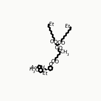 CC/C=C\CCCCCCCC(=O)OCC(COC(=O)CCCCCCC/C=C\CC)OC(=O)CC(C)CCCCC(=O)OCO[C@@H]1CCC[C@@H](CC[C@@H]2[C@@H](CC)CC[C@]3(C)C(C(C)=O)CC[C@@H]23)C1